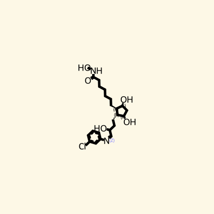 O=C(CCCCCC[C@@H]1[C@@H](CCC(O)/C=N\c2cccc(Cl)c2)[C@H](O)C[C@@H]1O)NO